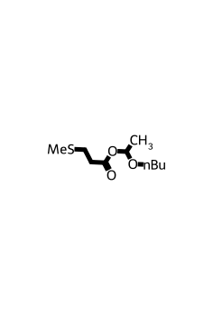 [CH2]SCCC(=O)OC(C)OCCCC